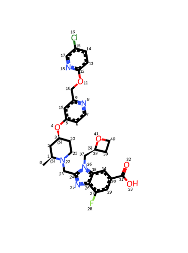 C[C@H]1C[C@@H](Oc2ccnc(COc3ccc(Cl)cn3)c2)CCN1Cc1nc2c(F)cc(C(=O)O)cc2n1C[C@@H]1CCO1